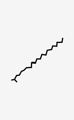 CCCCCCCCCCCC=CCCCCCCC(C)C